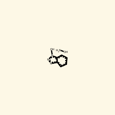 NO.On1nnc2ccccc21